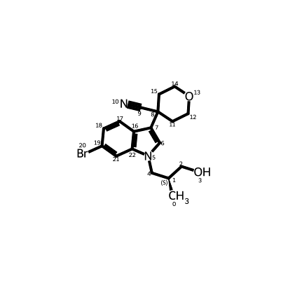 C[C@H](CO)Cn1cc(C2(C#N)CCOCC2)c2ccc(Br)cc21